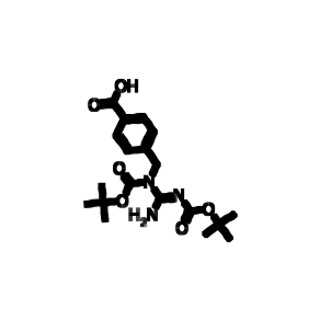 CC(C)(C)OC(=O)N=C(N)N(Cc1ccc(C(=O)O)cc1)C(=O)OC(C)(C)C